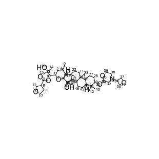 C[C@@H]1CC(C(OC(=O)C2CCOC2)C(C)(C)O)OC2[C@H]1C1(C)CCC34CC35CCC(O[C@H]3CN(C6COC6)CCO3)C(C)(C)[C@@H]5CCC4[C@]1(C)[C@H]2O